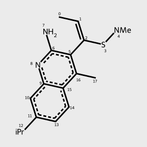 C/C=C(/SNC)c1c(N)nc2cc(C(C)C)ccc2c1C